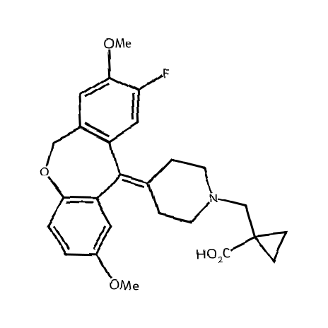 COc1ccc2c(c1)C(=C1CCN(CC3(C(=O)O)CC3)CC1)c1cc(F)c(OC)cc1CO2